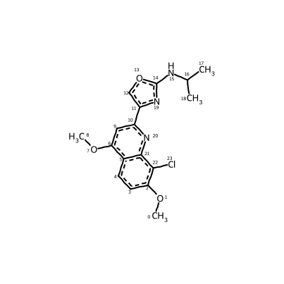 COc1ccc2c(OC)cc(-c3coc(NC(C)C)n3)nc2c1Cl